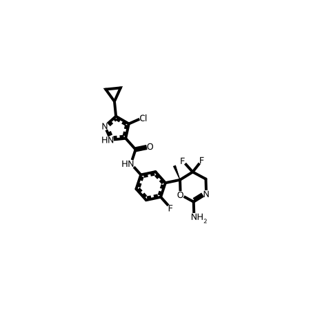 C[C@]1(c2cc(NC(=O)c3[nH]nc(C4CC4)c3Cl)ccc2F)OC(N)=NCC1(F)F